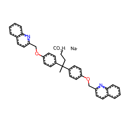 CC(CCC(=O)O)(c1ccc(OCc2ccc3ccccc3n2)cc1)c1ccc(OCc2ccc3ccccc3n2)cc1.[Na]